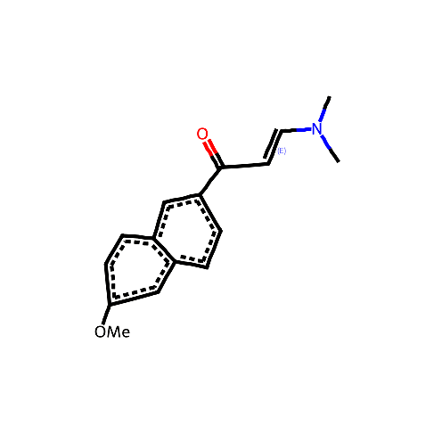 COc1ccc2cc(C(=O)/C=C/N(C)C)ccc2c1